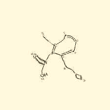 Cc1cccc(CCl)c1C(=O)O